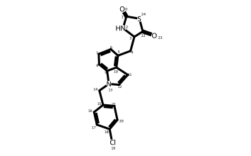 O=C1NC(Cc2cccc3c2ccn3Cc2ccc(Cl)cc2)C(=O)S1